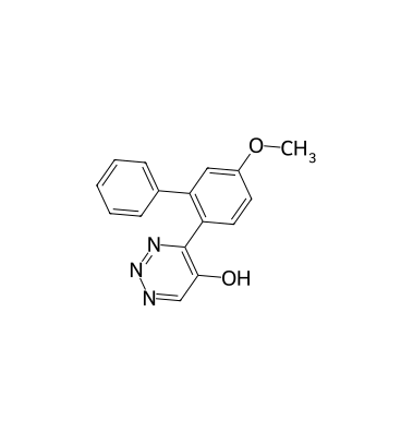 COc1ccc(-c2nnncc2O)c(-c2ccccc2)c1